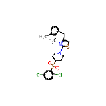 Cc1cccc(Cc2csc(N3CCC(S(=O)(=O)c4cc(Cl)ccc4Cl)CC3)n2)c1C